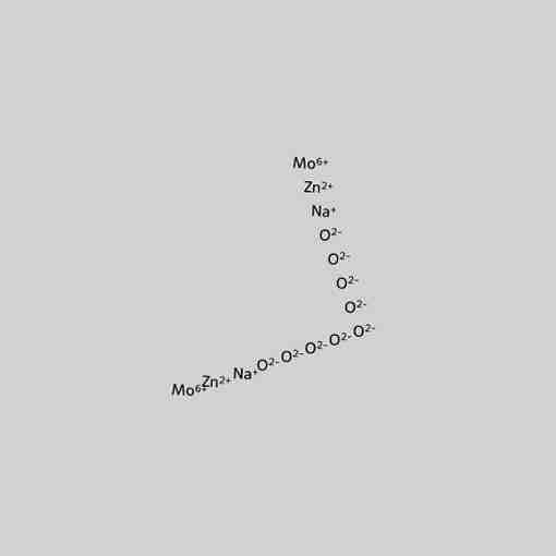 [Mo+6].[Mo+6].[Na+].[Na+].[O-2].[O-2].[O-2].[O-2].[O-2].[O-2].[O-2].[O-2].[O-2].[Zn+2].[Zn+2]